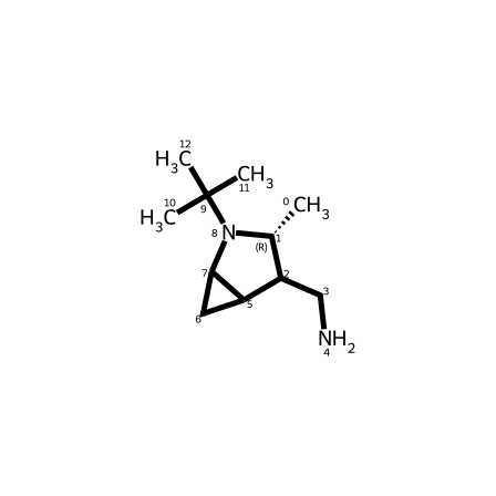 C[C@@H]1C(CN)C2CC2N1C(C)(C)C